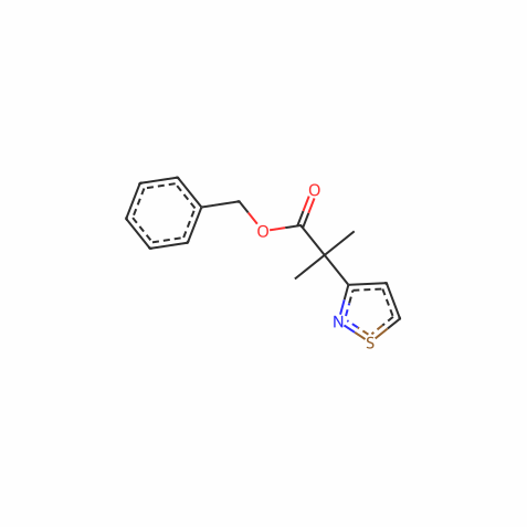 CC(C)(C(=O)OCc1ccccc1)c1ccsn1